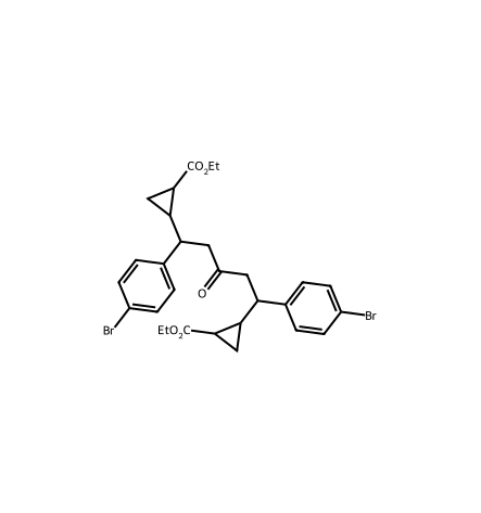 CCOC(=O)C1CC1C(CC(=O)CC(c1ccc(Br)cc1)C1CC1C(=O)OCC)c1ccc(Br)cc1